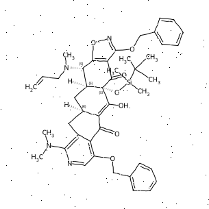 C=CCN(C)[C@@H]1c2onc(OCc3ccccc3)c2C(=O)[C@@]2(O[Si](C)(C)C(C)(C)C)C(O)=C3C(=O)c4c(OCc5ccccc5)cnc(N(C)C)c4C[C@H]3C[C@@H]12